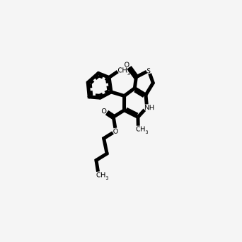 CCCCOC(=O)C1=C(C)NC2=C(C(=O)SC2)C1c1ccccc1C